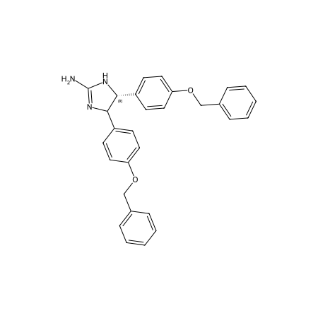 NC1=NC(c2ccc(OCc3ccccc3)cc2)[C@@H](c2ccc(OCc3ccccc3)cc2)N1